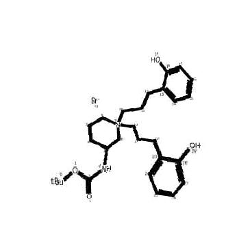 CC(C)(C)OC(=O)NC1CCC[N+](CCCc2ccccc2O)(CCCc2ccccc2O)C1.[Br-]